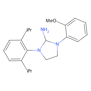 COc1ccccc1N1CCN(c2c(C(C)C)cccc2C(C)C)C1N